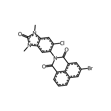 Cn1c(=O)n(C)c2cc(N3C(=O)c4cccc5cc(Br)cc(c45)C3=O)c(Cl)cc21